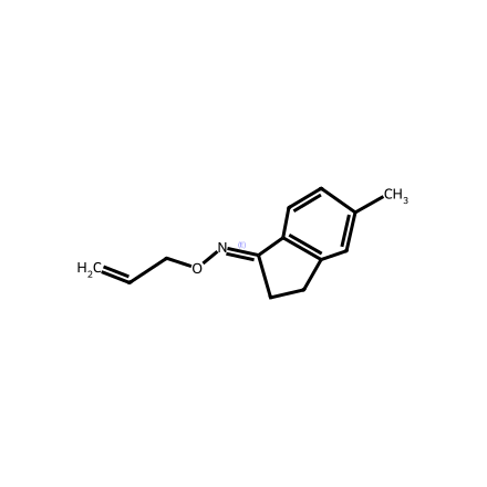 C=CCO/N=C1\CCc2cc(C)ccc21